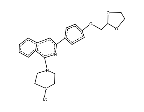 CCN1CCN(c2nc(-c3ccc(OCC4OCCO4)cc3)cc3ccccc23)CC1